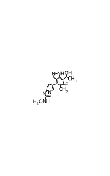 CNc1cn2cc(-c3c(C)c(F)c(C(C)O)c4[nH]ncc34)ccc2n1